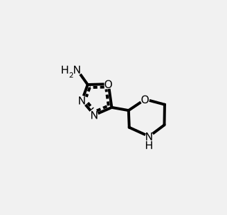 Nc1nnc(C2CNCCO2)o1